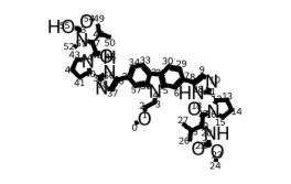 COCCn1c2cc(-c3cnc([C@@H]4CCCN4C(=O)[C@@H](NC(=O)OC)C(C)C)[nH]3)ccc2c2ccc(-c3cnc([C@@H]4CCCN4C(=O)[C@H](C(C)C)N(C)C(=O)O)[nH]3)cc21